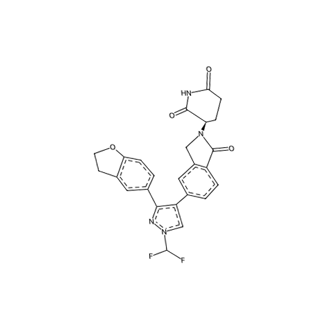 O=C1CC[C@@H](N2Cc3cc(-c4cn(C(F)F)nc4-c4ccc5c(c4)CCO5)ccc3C2=O)C(=O)N1